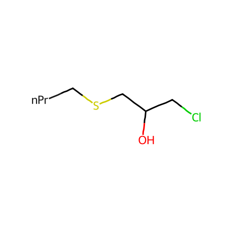 CCCCSCC(O)CCl